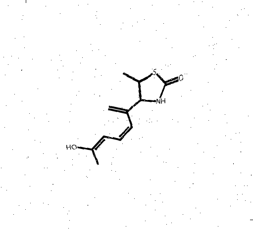 C=C(/C=C\C=C(/C)O)C1NC(=O)SC1C